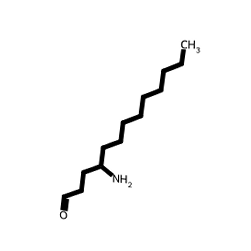 CCCCCCCCCC(N)CCC=O